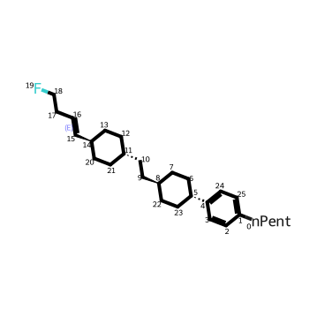 CCCCCc1ccc([C@H]2CC[C@H](CC[C@H]3CC[C@H](/C=C/CCF)CC3)CC2)cc1